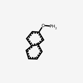 POc1ccc2ccccc2c1